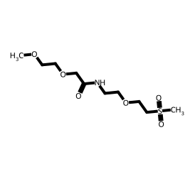 COCCOCC(=O)NCCOCCS(C)(=O)=O